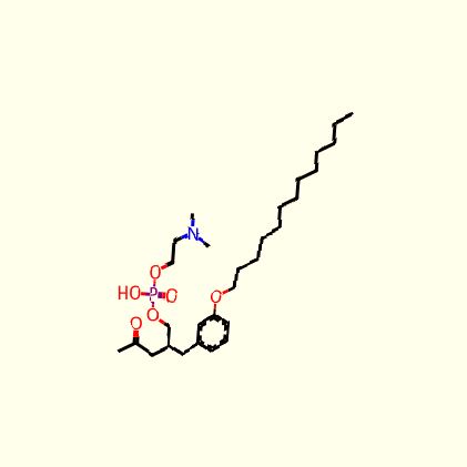 CCCCCCCCCCCCCOc1cccc(CC(COP(=O)(O)OCCN(C)C)CC(C)=O)c1